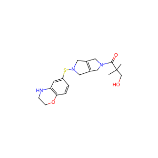 CC(C)(CO)C(=O)N1CC2=C(CN(Sc3ccc4c(c3)NCCO4)C2)C1